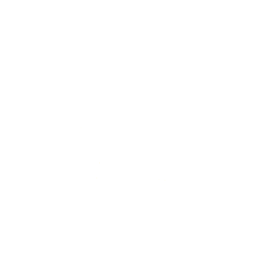 C=CC=C1CCC(C)C1